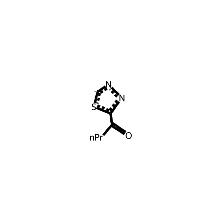 CCCC(=O)c1nn[c]s1